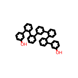 Oc1cccc(-c2ccccc2-c2ccccc2-c2cccc(-c3ccccc3-c3ccccc3-c3cccc(O)c3)c2)c1